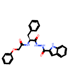 O=C(COc1ccccc1)N[C@@H](Cc1ccccc1)C(=O)NNC(=O)c1cc2ccccc2[nH]1